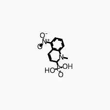 CN1c2cccc([N+](=O)[O-])c2C=CC1P(=O)(O)O